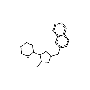 CC1CN(Cc2ccc3nccnc3c2)CC1C1CCCCO1